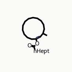 CCCCCCCC(=O)O/C1=C/C(C)CCCCCCCCCCCC1